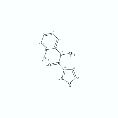 Cc1ccccc1N(C)C(=O)c1ccon1